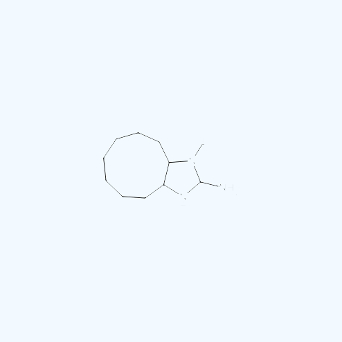 NC1NC2CCCCCCCC2N1I